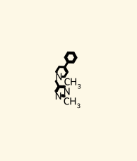 Cc1ncc(CN2CC=C(c3ccccc3)CC2)c(C)n1